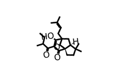 CCC(C)C(=O)C1=C(O)C2(CC=C(C)C)C[C@H]3C(C)(C)CC[C@@]3(C1=O)C2=O